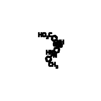 Cc1cccc(-c2nc3ccc(S(=O)(=O)Nc4ccc(C(=O)O)cc4)cc3[nH]2)c1